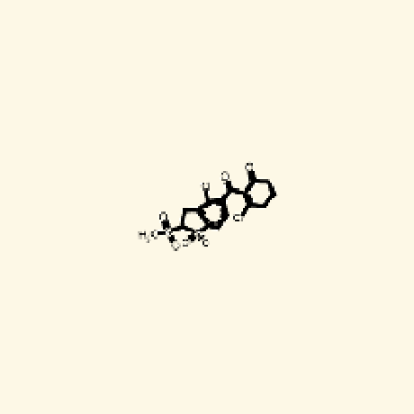 CS(=O)(=O)C1Cc2c(ccc(C(=O)C3=C(Cl)CCCC3=O)c2Cl)S1(=O)=O